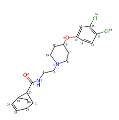 O=C(NCCN1CCC(Oc2ccc(Cl)c(Cl)c2)CC1)C1CC2C=CC1C2